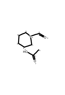 CC(=O)O.O=CN1CCCCC1